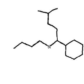 CCCC[N]C(CCC(C)C)C1CCCCC1